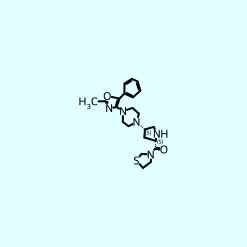 Cc1nc(N2CCN([C@@H]3CN[C@H](C(=O)N4CCSC4)C3)CC2)c(-c2ccccc2)o1